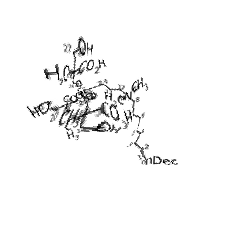 CCCCCCCCCCCCCCCCCC[N+](C)(C)CCC[Si](OCC(C)(CO)C(=O)O)(OCC(C)(CO)C(=O)O)OCC(C)(CO)C(=O)O